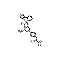 Nc1nc(O[C@](F)(c2ccccc2-c2ccsc2)C(F)F)cc(-c2ccc(CC(N)C(=O)O)cc2)n1